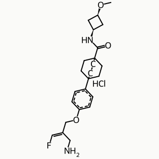 CO[C@H]1C[C@@H](NC(=O)C23CCC(c4ccc(OC/C(=C/F)CN)cc4)(CC2)CC3)C1.Cl